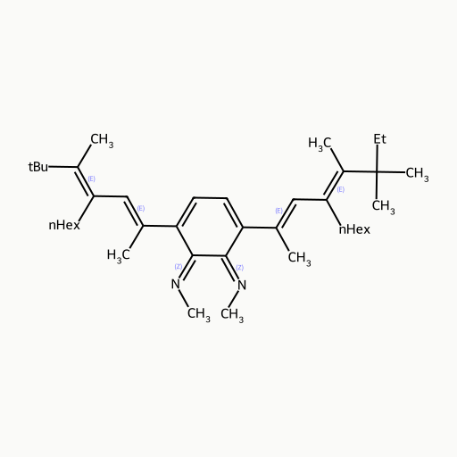 CCCCCCC(/C=C(\C)C1=CC=C(/C(C)=C/C(CCCCCC)=C(\C)C(C)(C)CC)C(=N/C)/C1=N\C)=C(/C)C(C)(C)C